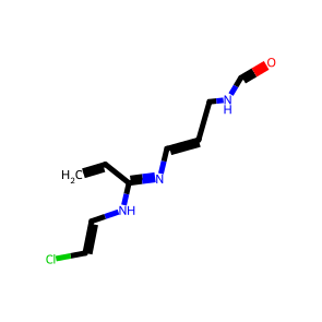 C=C/C(=N\C=C\CNC=O)N/C=C/Cl